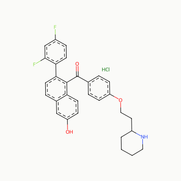 Cl.O=C(c1ccc(OCCC2CCCCN2)cc1)c1c(-c2ccc(F)cc2F)ccc2cc(O)ccc12